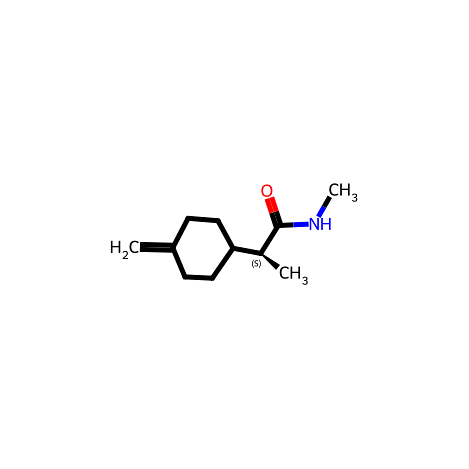 C=C1CCC([C@H](C)C(=O)NC)CC1